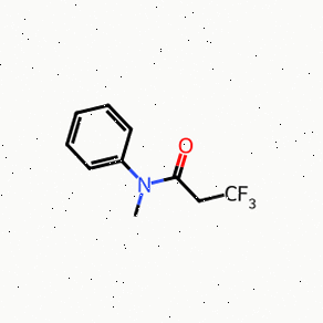 CN(C(=O)CC(F)(F)F)c1ccccc1